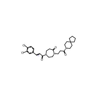 O=C(/C=C/c1ccc(Cl)c(Cl)c1)N1CCC(=O)N(CCC(=O)N2CCC3(CCCC3)CC2)CC1